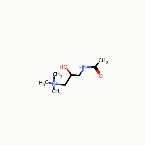 CC(=O)NCC(O)C[N+](C)(C)C